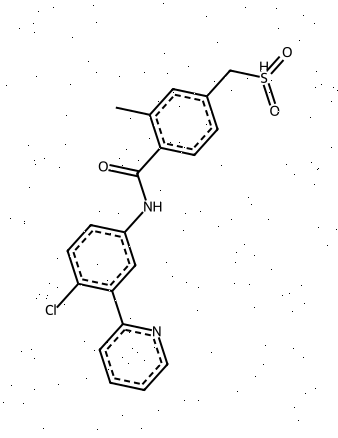 Cc1cc(C[SH](=O)=O)ccc1C(=O)Nc1ccc(Cl)c(-c2ccccn2)c1